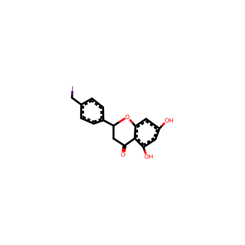 O=C1CC(c2ccc(CI)cc2)Oc2cc(O)cc(O)c21